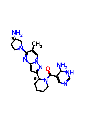 Cc1cn2nc([C@@H]3CCCCN3C(=O)C3=CN=CNC3N)cc2nc1N1CC[C@H](N)C1